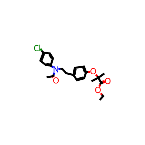 CCOC(=O)C(C)(C)Oc1ccc(CCN(C(C)=O)c2ccc(Cl)cc2)cc1